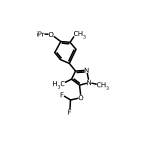 Cc1cc(-c2nn(C)c(OC(F)F)c2C)ccc1OC(C)C